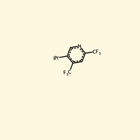 CC(C)c1cnc(C(F)(F)F)cc1C(F)(F)F